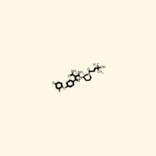 CC(C)(O)/C=C/C(=O)N1CCC[C@@H](n2nc(-c3ccc(Oc4ccc(F)cc4F)cc3)c(C(N)=O)c2N)C1